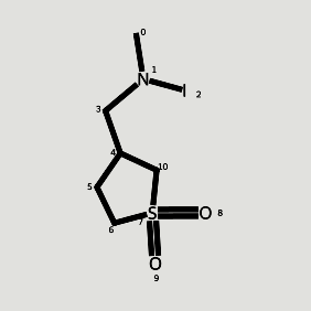 CN(I)CC1CCS(=O)(=O)C1